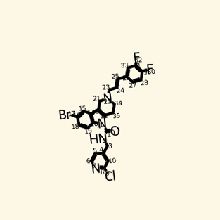 O=C(NCc1ccnc(Cl)c1)n1c2c(c3cc(Br)ccc31)CN(CC=Cc1ccc(F)c(F)c1)CC2